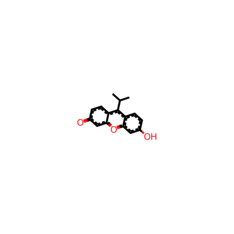 CC(C)c1c2ccc(=O)cc-2oc2cc(O)ccc12